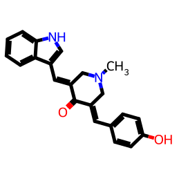 CN1C/C(=C\c2ccc(O)cc2)C(=O)/C(=C/c2c[nH]c3ccccc23)C1